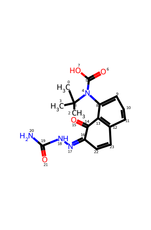 CC(C)(C)N(C(=O)O)c1cccc2c1C(=O)C(=NNC(N)=O)C=C2